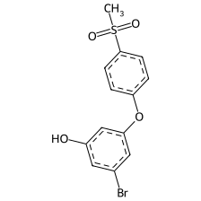 CS(=O)(=O)c1ccc(Oc2cc(O)cc(Br)c2)cc1